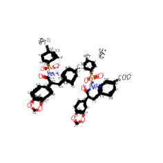 CC(C)c1ccc(S(=O)(=O)NC(=O)C(Cc2ccc(C(=O)[O-])cc2)c2ccc3c(c2)OCO3)cc1.CC(C)c1ccc(S(=O)(=O)NC(=O)C(Cc2ccc(C(=O)[O-])cc2)c2ccc3c(c2)OCO3)cc1.[K+].[K+]